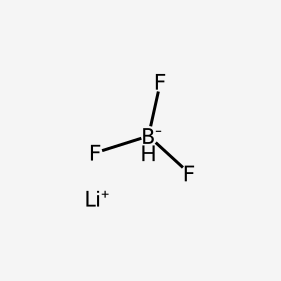 F[BH-](F)F.[Li+]